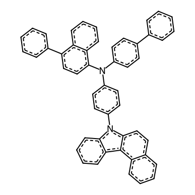 c1ccc(-c2ccc(N(c3ccc(-n4c5ccccc5c5c6ccccc6ccc54)cc3)c3ccc(-c4ccccc4)c4ccccc34)cc2)cc1